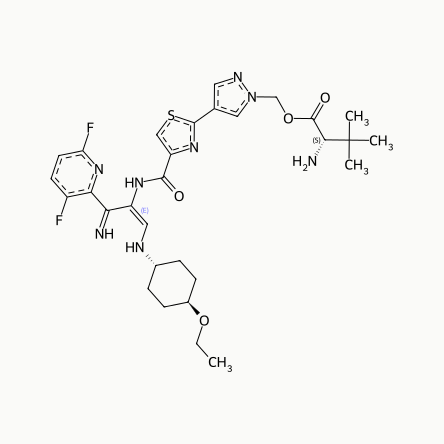 CCO[C@H]1CC[C@H](N/C=C(/NC(=O)c2csc(-c3cnn(COC(=O)[C@@H](N)C(C)(C)C)c3)n2)C(=N)c2nc(F)ccc2F)CC1